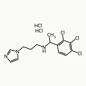 CC(NCCCn1ccnc1)c1ccc(Cl)c(Cl)c1Cl.Cl.Cl